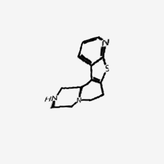 c1cnc2sc3c(c2c1)C1CNCCN1CC3